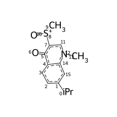 CC(C)c1ccc2c(=O)c([S+](C)[O-])cn(C)c2c1